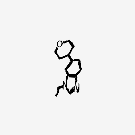 CCn1cnc2ccc(C3CCOCC3)cc21